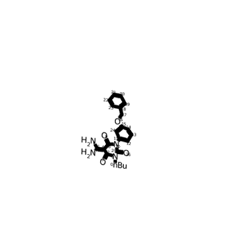 CCCCN1C(=O)C(=C(N)N)C(=O)N(c2cccc(OCc3ccccc3)c2)C1=O